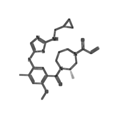 C=CC(=O)N1CCCN(C(=O)c2cc(Sc3cnc(NCC4CC4)s3)c(C)cc2OC)[C@@H](C)C1